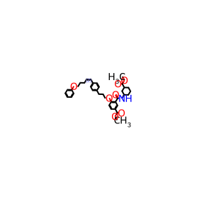 COC(=O)c1ccc(OCCCc2ccc(/C=C\CCCOc3ccccc3)cc2)c(C(=O)NC2CCCC(C(=O)OC)C2)c1